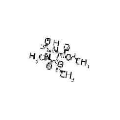 CCOC(=O)C1=C(OCC)C(=O)N(C)C(C=O)N1